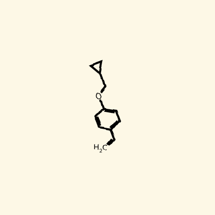 C=Cc1ccc(OCC2CC2)cc1